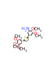 COc1cc([C@H]2CC[C@H](c3cc(OC)c(OC)c(OC)c3)S2)cc(N)c1OC